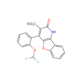 CCOC(=O)c1c(-c2ccccc2OC(F)F)c2oc3ccccc3c2[nH]c1=O